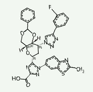 Cc1nc2ccc(-n3nc(C(=O)O)nc3[C@H]3C[C@@H](n4cc(-c5cccc(F)c5)nn4)[C@H]4OC(c5ccccc5)OC[C@H]4O3)cc2s1